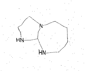 C1CCN2CCNC2NC1